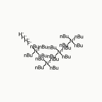 CCCC[N+](CCCC)(CCCC)CCCC.CCCC[N+](CCCC)(CCCC)CCCC.CCCC[N+](CCCC)(CCCC)CCCC.CCCC[N+](CCCC)(CCCC)CCCC.[F-].[H-].[H-].[H-]